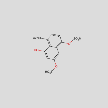 CC(=O)Nc1ccc(OS(=O)(=O)O)c2cc(OS(=O)(=O)O)cc(O)c12